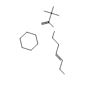 C1CCCCC1.CCC=CCCOC(=O)C(F)(F)F